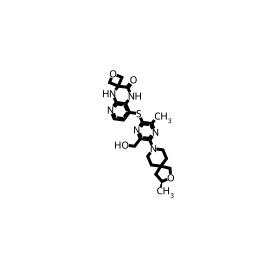 Cc1nc(N2CCC3(CC2)CO[C@@H](C)C3)c(CO)nc1Sc1ccnc2c1NC(=O)C1(COC1)N2